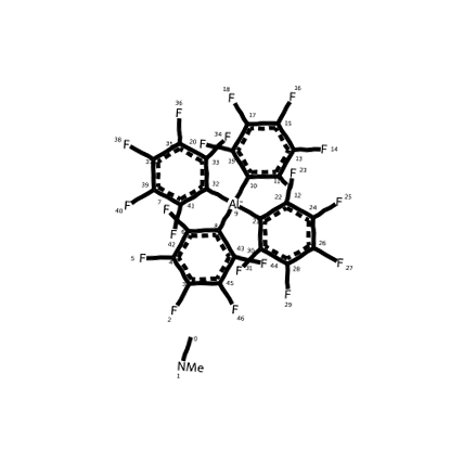 C[NH2+]C.Fc1c(F)c(F)[c]([Al-]([c]2c(F)c(F)c(F)c(F)c2F)([c]2c(F)c(F)c(F)c(F)c2F)[c]2c(F)c(F)c(F)c(F)c2F)c(F)c1F